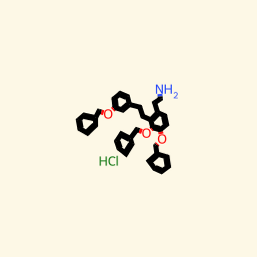 Cl.NCCc1ccc(OCc2ccccc2)c(OCc2ccccc2)c1CCc1cccc(OCc2ccccc2)c1